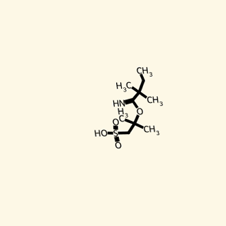 CCC(C)(C)C(=N)OC(C)(C)CS(=O)(=O)O